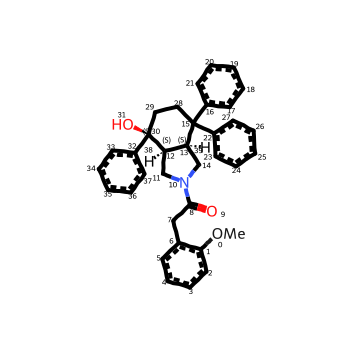 COc1ccccc1CC(=O)N1C[C@@H]2[C@H](C1)C(c1ccccc1)(c1ccccc1)CC[C@@]2(O)c1ccccc1